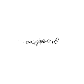 CN1CCN(C(=O)Cc2cc(Cl)c(NC(=O)N3CCN(c4ccc(NC(=O)c5cccc(N6CCCC6)c5)cc4)CC3)c(Cl)c2)CC1